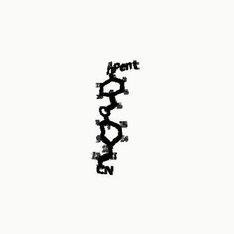 CCCCCC1CCC(COC2CCC(C=CC#N)CC2)CC1